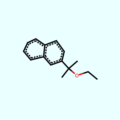 CCOC(C)(C)c1ccc2ccccc2c1